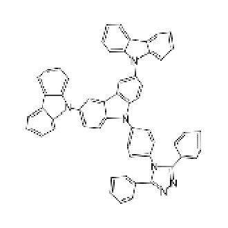 c1ccc(-c2nnc(-c3ccccc3)n2-c2ccc(-n3c4ccc(-n5c6ccccc6c6ccccc65)cc4c4cc(-n5c6ccccc6c6ccccc65)ccc43)cc2)cc1